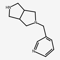 c1cncc(CN2CC3CNCC3C2)c1